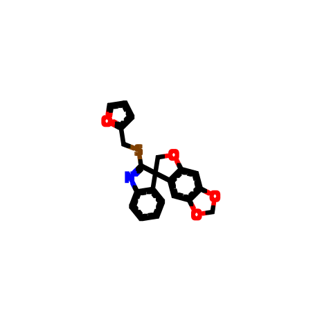 c1coc(CSC2=Nc3ccccc3C23COc2cc4c(cc23)OCO4)c1